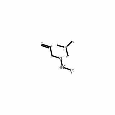 C=CCONCC.CN(C)C